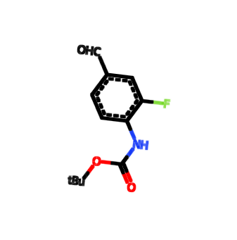 CC(C)(C)OC(=O)Nc1ccc(C=O)cc1F